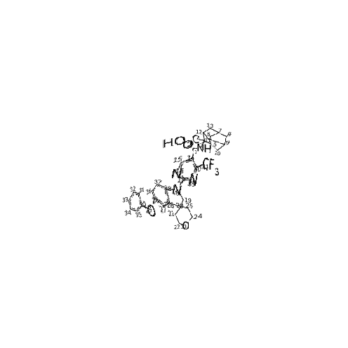 O=C(NC1(C(=O)O)C2CC3CC(C2)CC1C3)c1cnc(N2CC3(CCOCC3)c3cc(Oc4ccccc4)ccc32)nc1C(F)(F)F